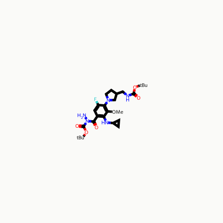 COc1c(NC2CC2)c(C(=O)N(N)C(=O)OC(C)(C)C)cc(F)c1N1CCC(CNC(=O)OC(C)(C)C)C1